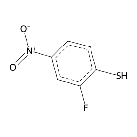 O=[N+]([O-])c1ccc(S)c(F)c1